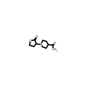 CC(=O)C1CCN(C2CCOC2=O)CC1